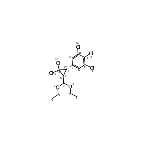 CCOC(OCC)[C@@H]1[C@@H](c2cc(Cl)c(Cl)c(Cl)c2)C1(Cl)Cl